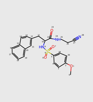 COc1ccc(S(=O)(=O)NC(Cc2ccc3ccccc3c2)C(=O)NCCC#N)cc1